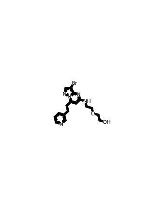 OCCOCCNc1cc(CCc2cccnc2)n2ncc(Br)c2n1